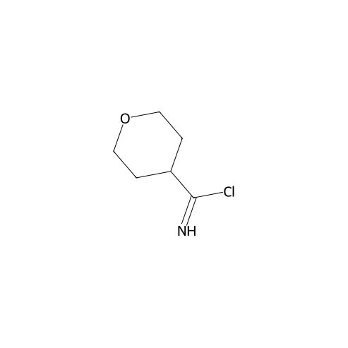 N=C(Cl)C1CCOCC1